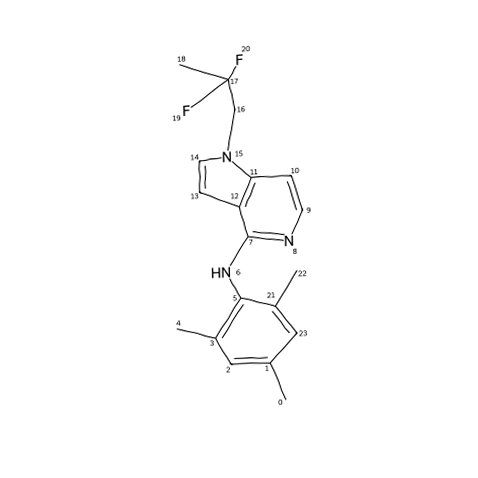 Cc1cc(C)c(Nc2nccc3c2ccn3CC(C)(F)F)c(C)c1